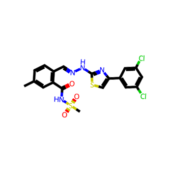 Cc1ccc(C=NNc2nc(-c3cc(Cl)cc(Cl)c3)cs2)c(C(=O)NS(C)(=O)=O)c1